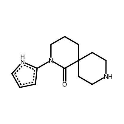 O=C1N(c2ccc[nH]2)CCCC12CCNCC2